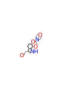 C[C@H](Oc1cccc2c(CC=O)c[nH]c12)C(=O)N1CCOCC1